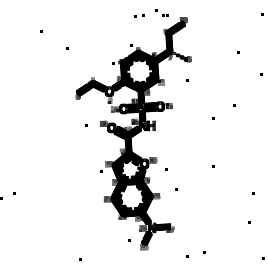 CCOc1ccc([C@@H](C)CC)cc1S(=O)(=O)NC(=O)c1cc2ccc(N(C)C)cc2o1